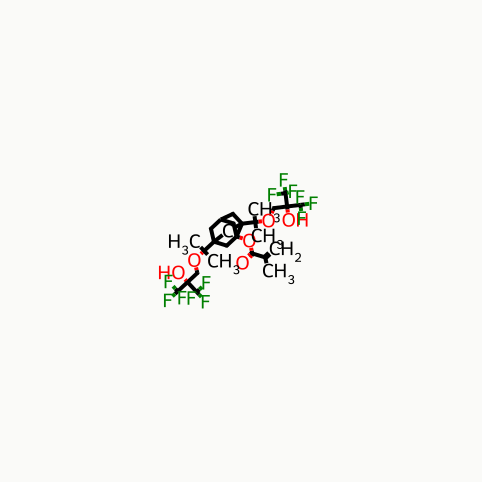 C=C(C)C(=O)OC12CC3CC(C(C)(C)OCC(O)(C(F)(F)F)C(F)(F)F)(C1)CC2(C(C)(C)OCC(O)(C(F)(F)F)C(F)(F)F)C3